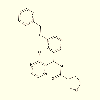 O=C(NC(c1cccc(OCc2ccccc2)c1)c1nccnc1Cl)C1CCOC1